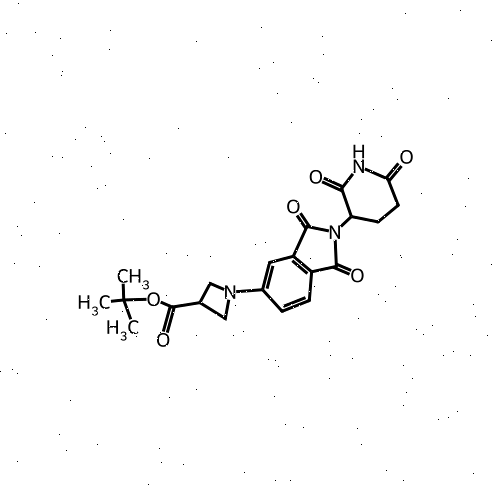 CC(C)(C)OC(=O)C1CN(c2ccc3c(c2)C(=O)N(C2CCC(=O)NC2=O)C3=O)C1